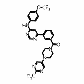 O=C(c1cccc(-c2cc(Nc3ccc(OC(F)(F)F)cc3)ncn2)c1)N1CCN(c2cnc(C(F)(F)F)nc2)CC1